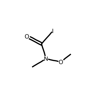 CON(C)C(=O)I